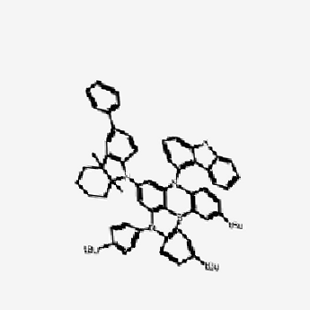 CC(C)(C)c1ccc(N2c3ccc(C(C)(C)C)cc3B3c4cc(C(C)(C)C)ccc4N(c4cccc5sc6ccccc6c45)c4cc(N5c6ccc(-c7ccccc7)cc6C6(C)CCCCC56C)cc2c43)cc1